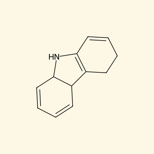 C1=CC2NC3=C(CCC=C3)C2C=C1